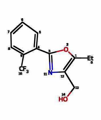 CCc1oc(-c2ccccc2C(F)(F)F)nc1CO